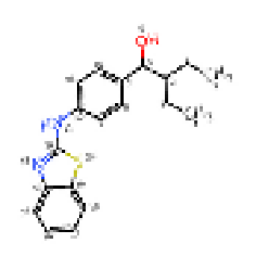 CCC(CC)C(O)c1ccc(Nc2nc3ccccc3s2)cc1